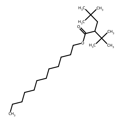 CCCCCCCCCCCCOC(=O)C(CC(C)(C)C)C(C)(C)C